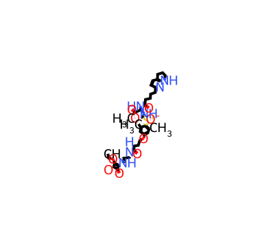 CCOc1c(NCCNC(=O)CCCOc2cc(C)c([S+]([O-])CNC(NC(=O)CCCCc3ccc4c(n3)NCCC4)C(=O)OC)c(C)c2)c(=O)c1=O